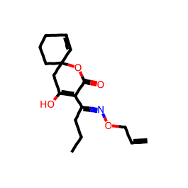 C=CCON=C(CCC)C1=C(O)CC2(C=CCCC2)OC1=O